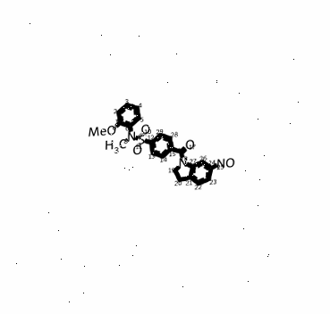 COc1ccccc1N(C)S(=O)(=O)c1ccc(C(=O)N2CCc3ccc(N=O)cc32)cc1